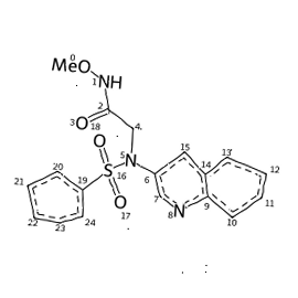 CONC(=O)CN(c1cnc2ccccc2c1)S(=O)(=O)c1ccccc1